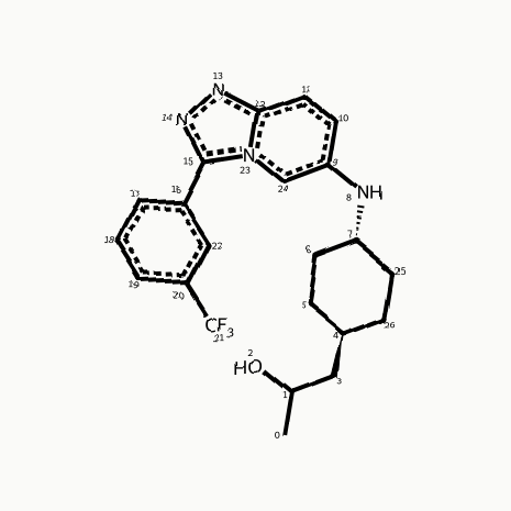 CC(O)C[C@H]1CC[C@H](Nc2ccc3nnc(-c4cccc(C(F)(F)F)c4)n3c2)CC1